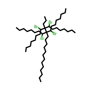 C[CH]CC(C(Br)CCCCCCC)(C(Br)CCCCCCC)C(CCCCCCCCCCCCC)(C(Br)CCCCCCC)C(Br)CCCCCCC